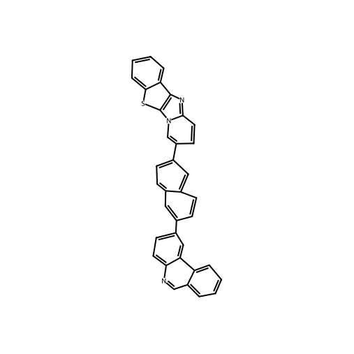 c1ccc2c(c1)cnc1ccc(-c3ccc4cc(-c5ccc6nc7c8ccccc8sc7n6c5)ccc4c3)cc12